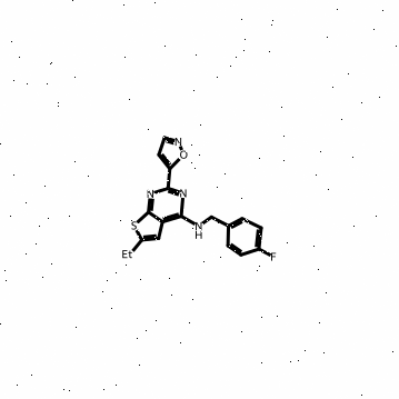 CCc1cc2c(NCc3ccc(F)cc3)nc(-c3ccno3)nc2s1